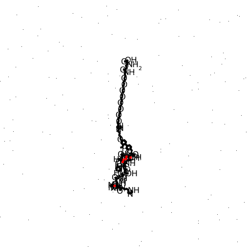 CCc1cc(OCCCCn2cc(COCCOCCOCCOCCOCCOCCOCCOCCNC(=O)CC[C@H](N)C(=O)O)nn2)ccc1-c1ccc(C[C@H](NC(=O)[C@H](CC(=O)O)NC(=O)[C@H](CO)NC(=O)[C@@H](NC(=O)C(C)(Cc2ccccc2F)NC(=O)[C@@H](NC(=O)CNC(=O)[C@H](Cc2nn[nH]n2)NC(=O)C(C)(C)C(=O)NCCc2cnc[nH]2)[C@@H](C)O)[C@@H](C)O)C(=O)O)cc1